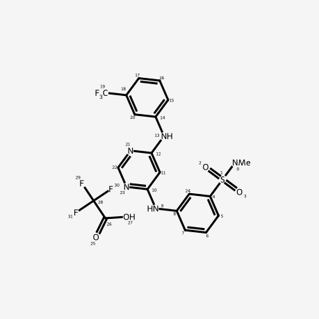 CNS(=O)(=O)c1cccc(Nc2cc(Nc3cccc(C(F)(F)F)c3)ncn2)c1.O=C(O)C(F)(F)F